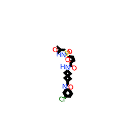 N=S(=O)(CC1COC1)c1ccc(C(=O)NC2CC3(C2)CC(c2nc4cc(Cl)ccc4o2)C3)o1